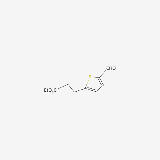 CCOC(=O)CCc1ccc(C=O)s1